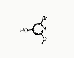 COc1cc(O)cc(Br)n1